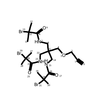 C#CCOCC(CNC(=O)C(C)(C)Br)(CNC(=O)C(C)(C)Br)CNC(=O)C(C)(C)Br